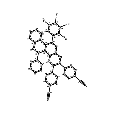 N#Cc1ccc(-c2nc3cc(-c4c(F)c(F)c(F)c(F)c4F)c4c5ccccc5nc(-c5ccccc5)c4c3nc2-c2ccc(C#N)cc2)cc1